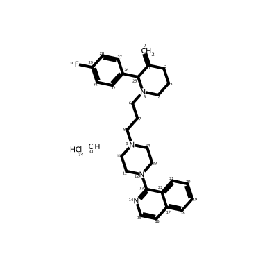 C=C1CCCN(CCCN2CCN(c3nccc4ccccc34)CC2)C1c1ccc(F)cc1.Cl.Cl